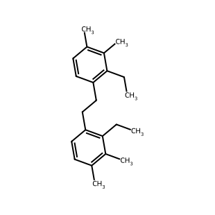 CCc1c(CCc2ccc(C)c(C)c2CC)ccc(C)c1C